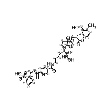 Cc1ccc(Oc2ccc([C@]3(C)CCN([C@H](CCCCNC(=O)c4ccc(N/N=C\c5ccccc5S(=O)(=O)O)nc4)C(=O)NO)C3=O)cc2)cc1CO